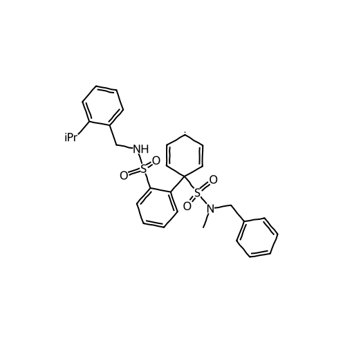 CC(C)c1ccccc1CNS(=O)(=O)c1ccccc1C1(S(=O)(=O)N(C)Cc2ccccc2)C=C[CH]C=C1